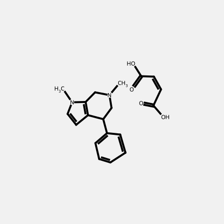 CN1Cc2c(ccn2C)C(c2ccccc2)C1.O=C(O)/C=C\C(=O)O